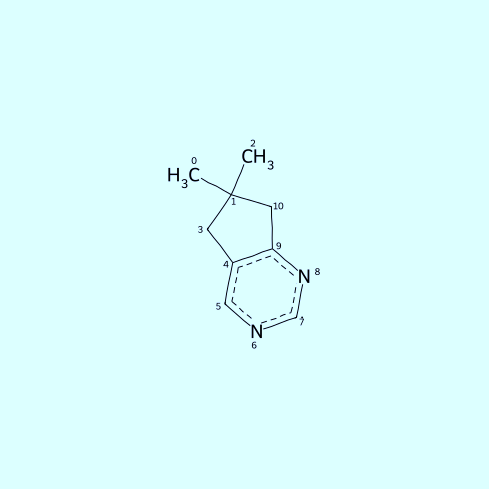 CC1(C)Cc2cn[c]nc2C1